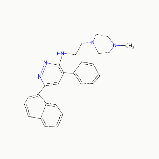 CN1CCN(CCNc2nnc(-c3cccc4ccccc34)cc2-c2ccccc2)CC1